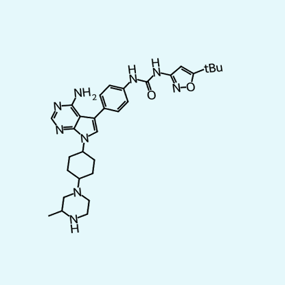 CC1CN(C2CCC(n3cc(-c4ccc(NC(=O)Nc5cc(C(C)(C)C)on5)cc4)c4c(N)ncnc43)CC2)CCN1